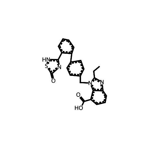 CCc1nc2cccc(C(=O)O)c2n1Cc1ccc(-c2ccccc2-c2nc(=O)s[nH]2)cc1